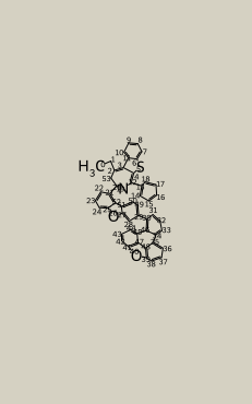 CCC1=c2c(sc3ccccc23)=C(c2ccccc2)N=C(c2cccc3oc4cc(-c5cccc6c7cccc8oc9cccc(c56)c9c87)ccc4c23)C1